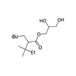 CCC(C)CC(C(=O)OCC(O)CO)C(C)(C)CC